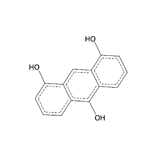 Oc1cccc2c(O)c3cccc(O)c3cc12